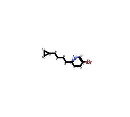 Brc1ccc(CCCCC2CC2)nc1